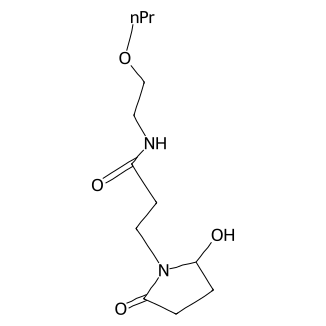 CCCOCCNC(=O)CCN1C(=O)CCC1O